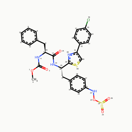 COC(=O)N[C@@H](Cc1ccccc1)C(=O)N[C@@H](Cc1ccc(NO[SH](=O)=O)cc1)c1nc(-c2ccc(Cl)cc2)cs1